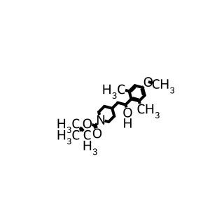 COc1cc(C)c(C(O)CC2CCN(C(=O)OC(C)(C)C)CC2)c(C)c1